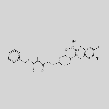 CC(C)(C)[S+]([O-])N[C@H](Cc1cc(F)c(F)cc1F)C1CCN(CCC(=O)NC(=O)OCc2ccccc2)CC1